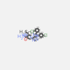 CC(C)NC1(C(N)=O)CCN(c2ncnc3c2nc(-c2ccccc2Cl)n3-c2ccc(Cl)cc2)CC1